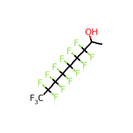 CC(O)C(F)(F)C(F)(F)C(F)(F)C(F)(F)C(F)(F)C(F)(F)C(F)(F)F